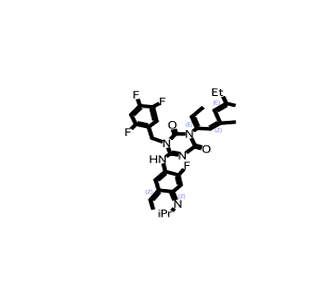 C/C=C1/C=C(Nc2nc(=O)n(C(/C=C(C)\C=C(/C)CC)=C/C)c(=O)n2Cc2cc(F)c(F)cc2F)C(F)=C/C1=N/C(C)C